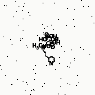 CN(CCCc1cccnc1)CCC(O)(P(=O)(O)O)P(=O)(O)O